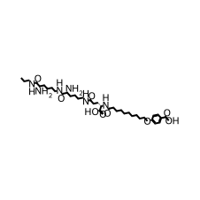 CCCNC(=O)[C@@H](N)CCCCNC(=O)[C@@H](N)CCCCNC(=O)CC[C@H](NC(=O)CCCCCCCCCOc1ccc(C(=O)O)cc1)C(=O)O